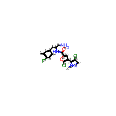 Cc1cc(C[C@@H](CN)NC(=O)c2cc(-c3c(Cl)cnn3C)c(Cl)o2)ccc1F